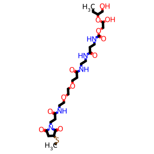 CCC(CO)OC(O)COC(=O)NCCC(=O)NCCNC(=O)CCOCCOCCNC(=O)CCN1C(=O)CC(SC)C1=O